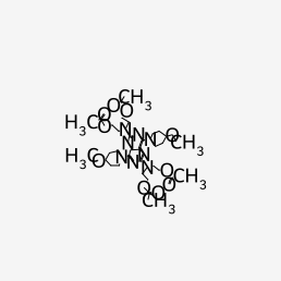 COC1CCN(c2nc(N(CCOC(C)=O)CCOC(C)=O)nc3c(N4CCC(OC)CC4)nc(N(CCOC(C)=O)CCOC(C)=O)nc23)CC1